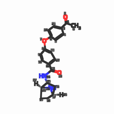 CC(=O)c1ccc(Oc2ccc(C(=O)N[C@@H]3C[C@H]4CC[C@@H]3N4)cc2)cc1